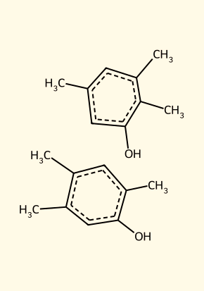 Cc1cc(C)c(C)c(O)c1.Cc1cc(C)c(O)cc1C